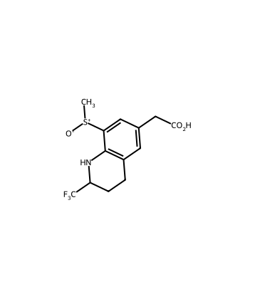 C[S+]([O-])c1cc(CC(=O)O)cc2c1NC(C(F)(F)F)CC2